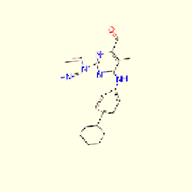 C=CN(C=N)c1nc(C=O)c(C)c(Nc2ccc(C3CCCCC3)cc2)n1